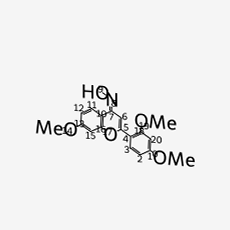 COc1ccc(-c2c/c(=N/O)c3ccc(OC)cc3o2)c(OC)c1